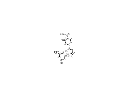 C=C(O)c1ccc(C2=COC(c3cc(Cl)cc(Cl)c3)(C(F)(F)F)C2)cc1C